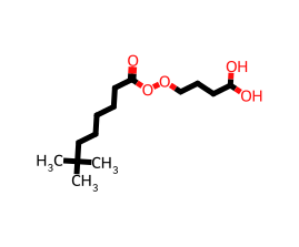 CC(C)(C)CCCCCC(=O)OOCCCC(O)O